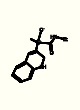 CCNC(=O)[N+](C)([O-])C1=Cc2ccccc2NC1